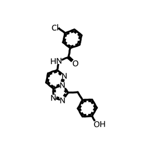 O=C(Nc1ccc2nnc(Cc3ccc(O)cc3)n2n1)c1cccc(Cl)c1